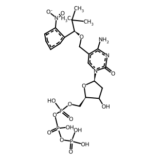 CC(C)(C)[C@@H](OCc1cn([C@H]2CC(O)[C@@H](COP(=O)(O)OP(=O)(O)OP(=O)(O)O)O2)c(=O)nc1N)c1ccccc1[N+](=O)[O-]